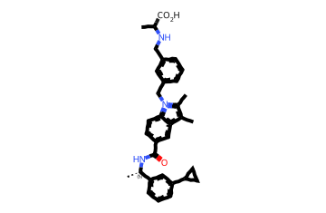 Cc1c(C)n(Cc2cccc(CNC(C)C(=O)O)c2)c2ccc(C(=O)N[C@@H](C)c3cccc(C4CC4)c3)cc12